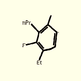 CCCc1c(C)[c]cc(CC)c1F